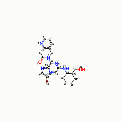 CC(=O)N(Cc1cccnc1)c1nc(NC2CCCCC2CO)cn2c(Br)cnc12